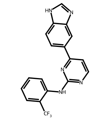 FC(F)(F)c1ccccc1Nc1nccc(-c2ccc3[nH]cnc3c2)n1